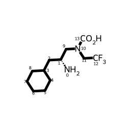 N[C@H](CC1CCCCC1)CN(CC(F)(F)F)C(=O)O